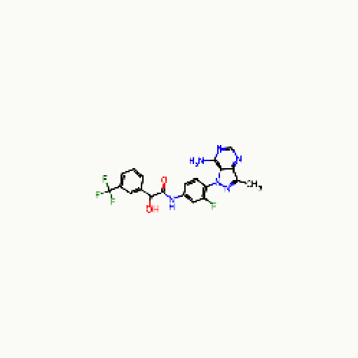 Cc1nn(-c2ccc(NC(=O)C(O)c3cccc(C(F)(F)F)c3)cc2F)c2c(N)ncnc12